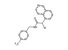 CCC(C(=O)NCc1ccc(C(F)(F)F)cc1)c1cccc2cnccc12